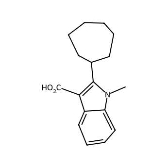 Cn1c(C2CCCCCC2)c(C(=O)O)c2ccccc21